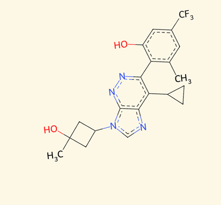 Cc1cc(C(F)(F)F)cc(O)c1-c1nnc2c(ncn2C2CC(C)(O)C2)c1C1CC1